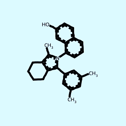 Cc1cc(C)cc(-c2c3c(c(C)n2-c2cccc4ccc(O)cc24)CCCC3)c1